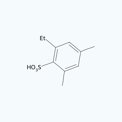 CCc1cc(C)cc(C)c1S(=O)(=O)O